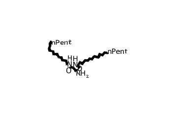 CCCCCC=CCC=CCCCCCCCC(=O)NC(CCN)C(=O)NCCCCCCCC/C=C\C/C=C\CCCCC